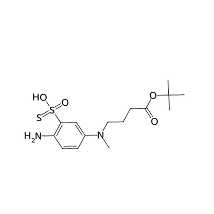 CN(CCCC(=O)OC(C)(C)C)c1ccc(N)c(S(=O)(O)=S)c1